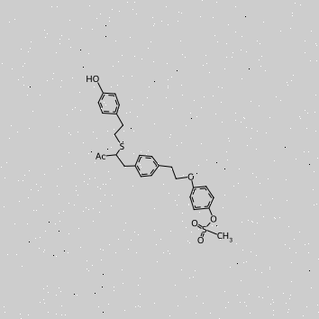 CC(=O)C(Cc1ccc(CCOc2ccc(OS(C)(=O)=O)cc2)cc1)SCCc1ccc(O)cc1